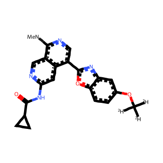 [2H]C([2H])([2H])Oc1ccc2oc(-c3cnc(NC)c4cnc(NC(=O)C5CC5)cc34)nc2c1